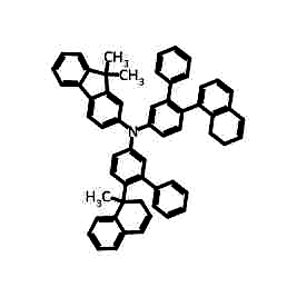 CC1(C)c2ccccc2-c2ccc(N(c3ccc(-c4cccc5c4CCC=C5)c(-c4ccccc4)c3)c3ccc(C4(C)CC=Cc5ccccc54)c(-c4ccccc4)c3)cc21